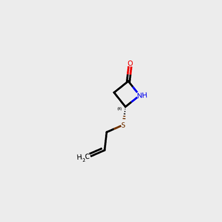 C=CCS[C@@H]1CC(=O)N1